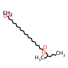 CCCCC(CC)COC(=O)CCCCCCCCCCCCCCCCCC(=O)OC